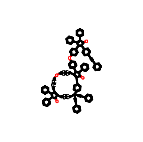 O=C1C(c2ccccc2)=C(c2ccccc2)C(c2ccc(Oc3ccc(C4=C(c5ccccc5)C(=O)C5=C4c4ccc(cc4)Oc4ccc(cc4)C4=C(C(=O)C(c6ccccc6)=C4c4ccccc4)c4ccc(cc4)C(C#Cc4ccccc4)(C#Cc4ccccc4)c4ccc5cc4)cc3)cc2)=C1c1ccc(C#Cc2ccccc2)cc1